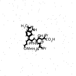 COCCCC(c1ccc2c(C)n[nH]c2c1)[C@@H](C[C@H](NC(=O)C(N)C(C)C)[C@@H](O)C[C@H](C(=O)O)C(C)C)C(C)C